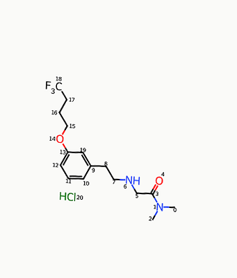 CN(C)C(=O)CNCCc1cccc(OCCCC(F)(F)F)c1.Cl